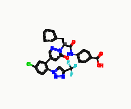 O=C(O)c1ccc(NC(=O)[C@H](Cc2ccccc2)n2ncc(-c3cc(Cl)ccc3-n3cc(C(F)(F)F)nn3)cc2=O)cc1